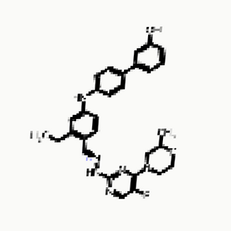 CCc1cc(Nc2ccc(-c3cccc(O)c3)cc2)ccc1/C=N/Nc1ncc(F)c(N2CCOC(C)C2)n1